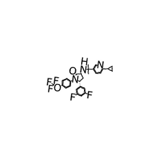 CC(C)(N[C@@H]1C[C@H](c2cc(F)cc(F)c2)N(c2ccc(OC(F)(F)F)cc2)C1=O)c1ccc(C2CC2)nc1